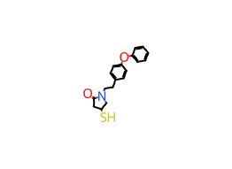 O=C1CC(S)CN1CCc1ccc(Oc2ccccc2)cc1